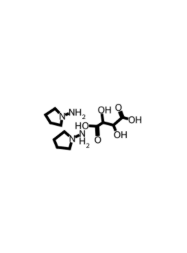 NN1CCCC1.NN1CCCC1.O=C(O)C(O)C(O)C(=O)O